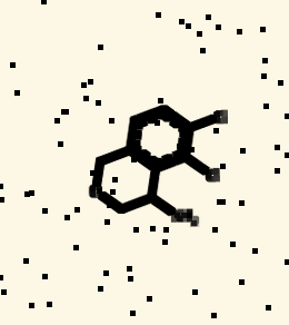 NC1COCc2ccc(Cl)c(Cl)c21